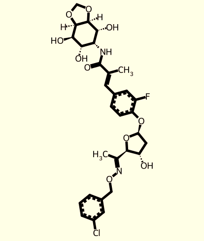 C/C(=C\c1ccc(O[C@H]2C[C@H](O)[C@@H](/C(C)=N/OCc3cccc(Cl)c3)O2)c(F)c1)C(=O)N[C@@H]1[C@H](O)[C@@H](O)[C@H]2OCO[C@H]2[C@@H]1O